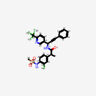 CC(C(=O)NC(C#Cc1ccccc1)c1ccc(C(F)(F)F)nc1)c1ccc(NS(C)(=O)=O)c(F)c1